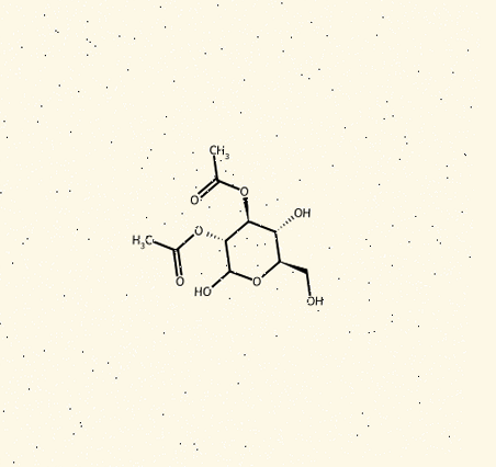 CC(=O)O[C@H]1[C@H](O)[C@@H](CO)OC(O)[C@@H]1OC(C)=O